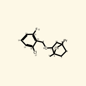 CC(C)C12CCC(C)(O1)C(OCc1c(F)cccc1Cl)C2